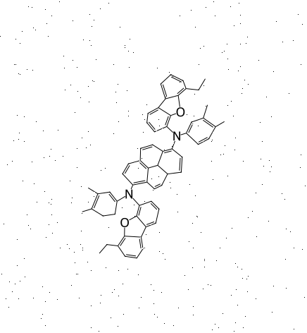 CCc1cccc2c1oc1c(N(C3=C4C=Cc5ccc(N(C6=CC(C)=C(C)CC6)c6cccc7c6oc6c(CC)cccc67)c6c5C4C(C=C3)C=C6)c3ccc(C)c(C)c3)cccc12